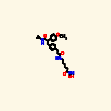 COc1ccc(/C(=C\c2ccc(C=CC(=O)NCCCCCC(=O)NO)cc2)C(=O)NC2CC2)cc1